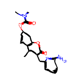 Cc1c(Cc2cccc(N)n2)c(=O)oc2cc(OC(=O)N(C)C)ccc12